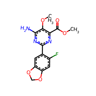 COC(=O)c1nc(-c2cc3c(cc2F)OCO3)nc(N)c1OC